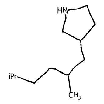 CC(C)CCC(C)CC1CCNC1